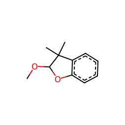 COC1Oc2ccccc2C1(C)C